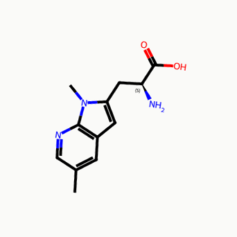 Cc1cnc2c(c1)cc(C[C@H](N)C(=O)O)n2C